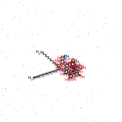 CCCCCCCCCCCCC/C=C/[C@@H](O)[C@H](CO[C@@H]1OC(CO)[C@@H](O[C@@H]2OC(CO)[C@H](O)[C@H](O[C@@H]3OC(CO)[C@@H](O)[C@H](O[C@@H]4OC(CO)[C@H](O)[C@H](O[C@@H]5OC(CO)[C@@H](O)[C@H](O[C@@H]6OC(CO)[C@H](O)[C@H](O[C@H]7OC(CO)[C@H](O)[C@H](O)C7NC(C)=O)C6O[C@H]6OC(C)[C@@H](O)C(O)[C@@H]6O)C5NC(C)=O)C4O)C3NC(C)=O)C2O)[C@H](O)C1O)NC(=O)CCCCCCCCCCCCCCCCC